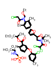 CC1(C)OC(c2ccco2)CN1C(=O)C(Cl)Cl.CCOC(=O)C(C)OC(=O)c1cc(Oc2ccc(C(F)(F)F)cc2Cl)ccc1[N+](=O)[O-].CCOCN(C(=O)CCl)c1c(C)cccc1CC.O=C(O)CNCP(=O)(O)O